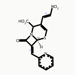 O=C(O)C1C(/C=C/[N+](=O)[O-])=CS[C@H]2/C(=C\c3ccccn3)C(=O)N12